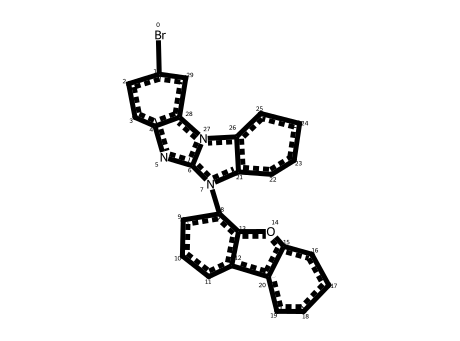 Brc1ccc2nc3n(-c4cccc5c4oc4ccccc45)c4ccccc4n3c2c1